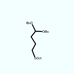 CCCCCCCCCCCC(OCC(C)C)OCC(C)C